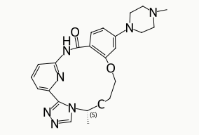 C[C@H]1CCCOc2cc(N3CCN(C)CC3)ccc2C(=O)Nc2cccc(n2)-c2nncn21